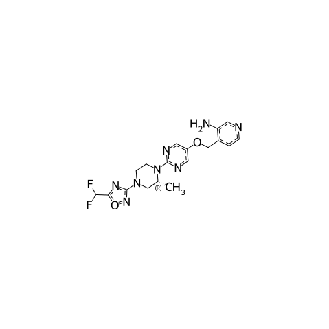 C[C@@H]1CN(c2noc(C(F)F)n2)CCN1c1ncc(OCc2ccncc2N)cn1